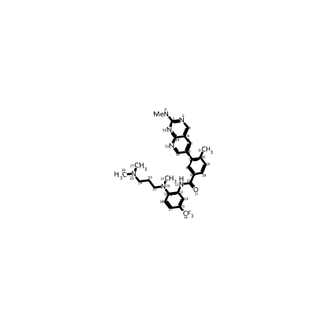 CNc1ncc2cc(-c3cc(C(=O)Nc4cc(C(F)(F)F)ccc4N(C)CCCN(C)C)ccc3C)cnc2n1